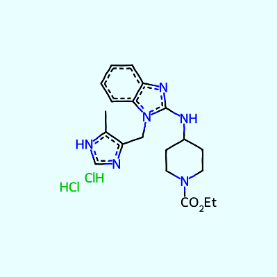 CCOC(=O)N1CCC(Nc2nc3ccccc3n2Cc2nc[nH]c2C)CC1.Cl.Cl